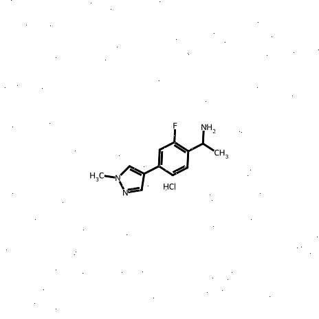 CC(N)c1ccc(-c2cnn(C)c2)cc1F.Cl